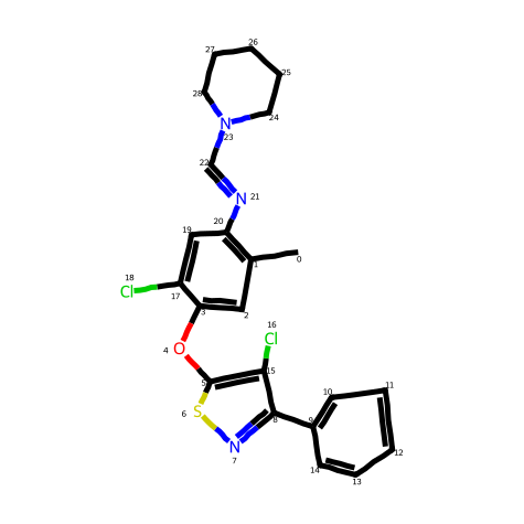 Cc1cc(Oc2snc(-c3ccccc3)c2Cl)c(Cl)cc1/N=C/N1CCCCC1